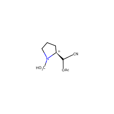 CC(=O)OC(C#N)[C@@H]1CCCN1C(=O)O